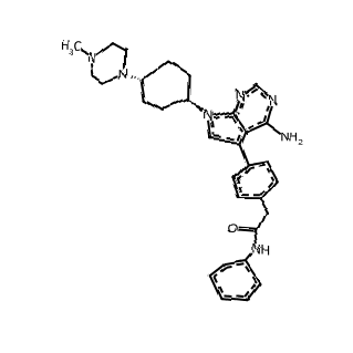 CN1CCN([C@H]2CC[C@H](n3cc(-c4ccc(CC(=O)Nc5ccccc5)cc4)c4c(N)ncnc43)CC2)CC1